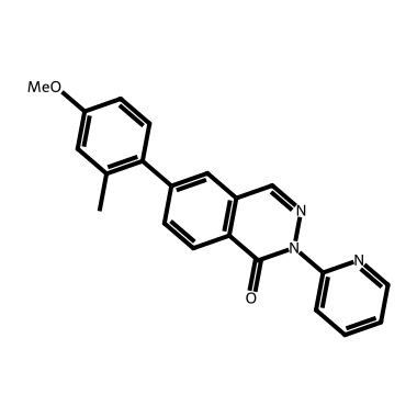 COc1ccc(-c2ccc3c(=O)n(-c4ccccn4)ncc3c2)c(C)c1